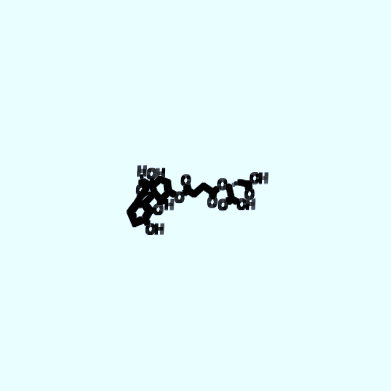 O=C(O)C[C@@H](OC(=O)CCC(=O)OC1=CC[C@@]2(O)[C@@H]3CCC[C@@]24c2c(ccc(O)c2O[C@@H]14)C3)C(=O)O